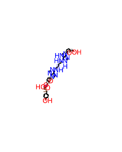 O=P(O)(OC[C@@H]1CC[C@H](n2cnc3c(NC/C=C/CNC4NC=NC5=C4NCN5[C@H]4CC[C@@H](CO)O4)ncnc32)O1)SCc1ccc(O)cc1